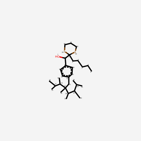 CCCCCC1(C(O)c2ccc(CC(C)(C(C)C(C)C)C(C)C(C)C(C)C)cc2)SCCCS1